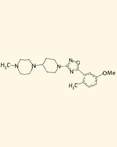 COc1ccc(C)c(-c2nc(N3CCC(N4CCN(C)CC4)CC3)no2)c1